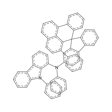 c1ccc(-c2ccc3cccc4c3c2C2(c3ccccc3-c3ccc(N(c5ccccc5)c5cccc6c7ccccc7n(-c7ccccc7)c56)cc32)c2ccccc2-4)cc1